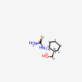 NC(=S)N[C@@H]1CCCC[C@H]1CO